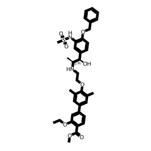 CCOc1cc(-c2cc(C)c(OCCN[C@@H](C)[C@H](O)c3ccc(OCc4ccccc4)c(NS(C)(=O)=O)c3)c(C)c2)ccc1C(=O)OC